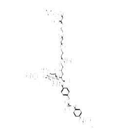 COCC(=O)OCCOCCOCCCNCCCCC(NC(=O)C(NC(=O)O)C(C)C)C(=O)Nc1ccc(COC(=O)Oc2ccc([N+](=O)[O-])cc2)cc1